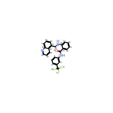 O=C(Nc1cccc(C(F)(F)F)c1)c1ccccc1NCc1cccc2ncccc12